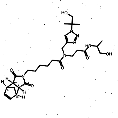 CC(CO)NC(=O)CCN(Cc1cn(C(C)(C)CO)nn1)C(=O)CCCCCN1C(=O)[C@@H]2[C@H](C1=O)[C@H]1C=C[C@@H]2C1